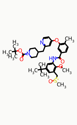 COc1c(C[S+](C)[O-])cc(C(C)(C)C)cc1NC(=O)c1ccc(C)c(Oc2ccnc(CC3CCN(C(=O)OC(C)(C)C)CC3)c2)c1